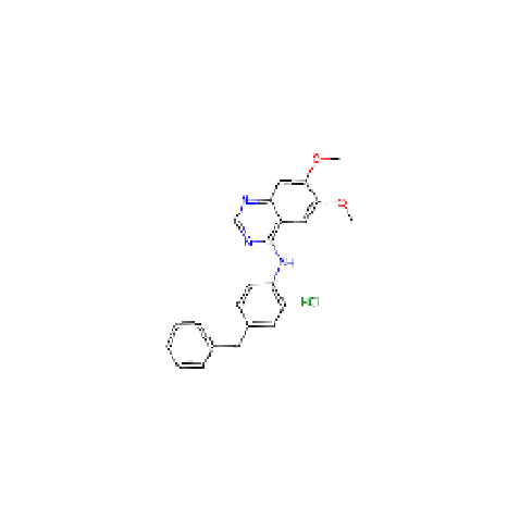 COc1cc2ncnc(Nc3ccc(Cc4ccccc4)cc3)c2cc1OC.Cl